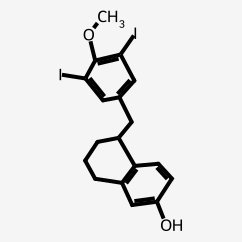 COc1c(I)cc(CC2CCCc3cc(O)ccc32)cc1I